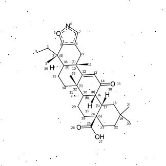 CC[C@]1(C)c2oncc2C[C@]2(C)C3=CC(=O)[C@@H]4[C@@H]5CC(C)(C)CC[C@]5(C(=O)O)CC[C@@]4(C)[C@]3(C)CC[C@H]21